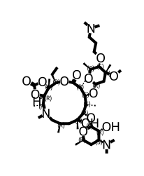 CC[C@H]1OC(=O)[C@H](C)[C@@H](O[C@H]2C[C@@](C)(OC)[C@@H](OCCCN(C)C)[C@H](C)O2)[C@H](C)[C@@H](O[C@@H]2O[C@H](C)C[C@H](N(C)C)[C@H]2O)[C@](C)(O)C[C@@H](C)CN(C)[C@H](C)[C@H]2OC(=O)O[C@@]21C